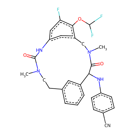 CN1CCc2cccc(c2)C(Nc2ccc(C#N)cc2)C(=O)N(C)Cc2cc(cc(F)c2OC(F)F)NC1=O